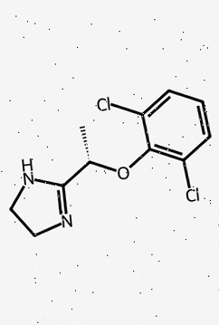 C[C@H](Oc1c(Cl)cccc1Cl)C1=NCCN1